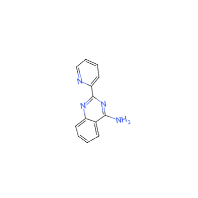 Nc1nc(-c2ccccn2)nc2ccccc12